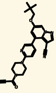 C#CC(=O)N1CCN(c2ccc(-c3cc(OCC(C)(C)C)cn4ncc(C#N)c34)cn2)CC1